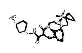 CS(=O)(=O)C1(CN2CCn3c(=O)c(C(=O)NC[C@H]4CC[C@@H](O)CC4)cc4cccc2c43)CC1